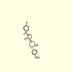 C[C@@H](c1ccc(F)cc1)N1CC[C@H](N2CC[C@@H](c3ccc(O)cc3)[C@H](F)C2)C1=O